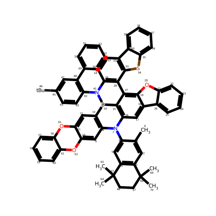 Cc1cc2c(cc1N1c3cc4c(cc3B3c5c1cc1c(oc6ccccc61)c5-c1c(ccc5c1sc1ccccc15)N3c1ccc(C(C)(C)C)cc1-c1ccccc1)Oc1ccccc1O4)C(C)(C)CCC2(C)C